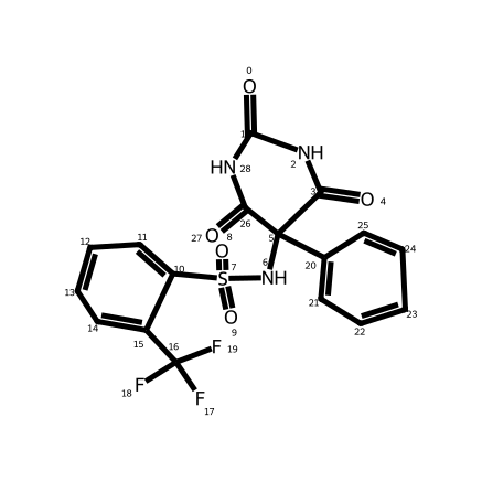 O=C1NC(=O)C(NS(=O)(=O)c2ccccc2C(F)(F)F)(c2ccccc2)C(=O)N1